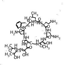 CC(=O)N[C@H](CN[C@H](CO)C(=O)N[C@H]1CCNC(=O)[C@H]([C@@H](C)O)NC(=O)[C@H](CCN)NC(=O)[C@H](CCN)NC(=O)[C@H](CC(C)C)NC(=O)[C@@H](Cc2ccccc2)NC(=O)[C@H](CCN)NC1=O)[C@@H](C)O